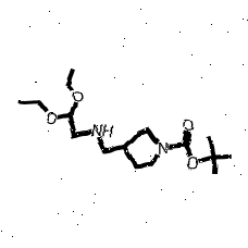 CCOC(CNCC1CCN(C(=O)OC(C)(C)C)CC1)OCC